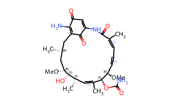 CO[C@@H]1/C=C\C=C(\C)C(=O)NC2=CC(=O)C(N)=C(C[C@@H](C)C[C@@H](OC)[C@@H](O)[C@@H](C)/C=C(/C)[C@@H]1OC(N)=O)C2=O